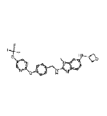 Cn1c(NCc2ccc(Oc3ncc(OC(F)(F)F)cn3)cc2)nc2ccc(NC3COC3)cc21